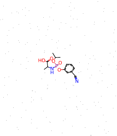 CC(C)OP(=O)(NC(C)C(=O)O)Oc1cccc(C#N)c1